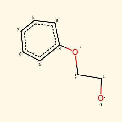 [O]C[CH]Oc1ccccc1